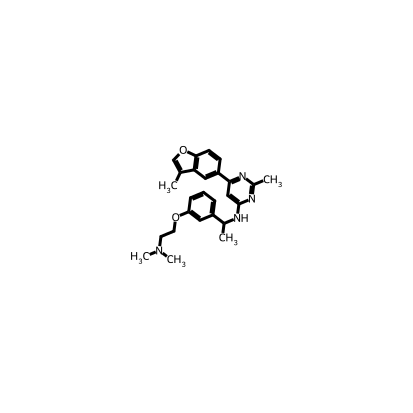 Cc1nc(NC(C)c2cccc(OCCN(C)C)c2)cc(-c2ccc3occ(C)c3c2)n1